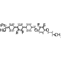 C=CCCOc1ccc(OCC2CCC(c3ccc(-c4ccc(C(O)CCC)cc4)c(F)c3F)CC2)c(F)c1F